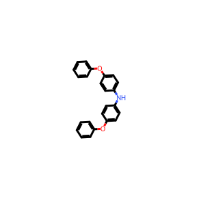 c1ccc(Oc2ccc(Nc3ccc(Oc4ccccc4)cc3)cc2)cc1